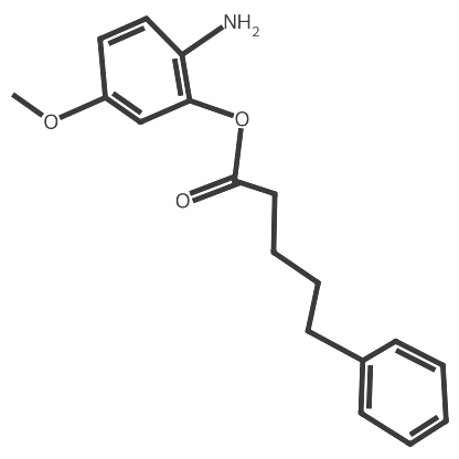 COc1ccc(N)c(OC(=O)CCCCc2ccccc2)c1